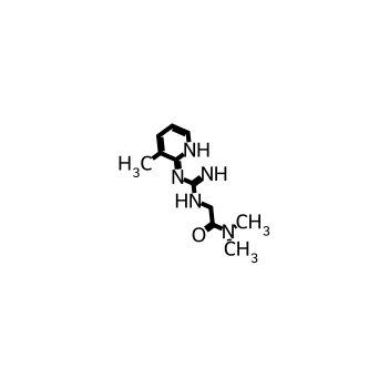 Cc1ccc[nH]/c1=N\C(=N)NCC(=O)N(C)C